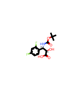 CC(C)(C)OC(=O)N[C@@H](c1ccc(F)cc1F)[C@@H](O)C(=O)O